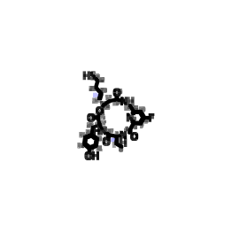 C/C=C1\NC(=O)c2cc(F)cc(n2)CNC(=O)C[C@@H](/C=C/CCS)OC(=O)[C@H](Cc2ccc(O)cc2)NC1=O